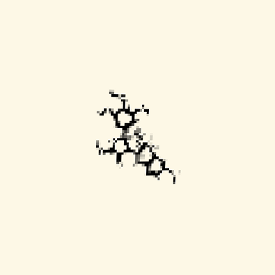 COc1ccc2c(c1)OC=C(C1C(=O)C(OC)SC1(c1cc(OC)c(OC)c(OC)c1)S(=O)(=O)O)C2